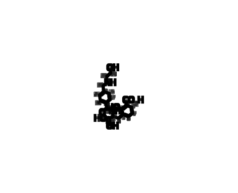 O=C(N[C@@H](Cc1cccc(C(=O)O)c1O)B(O)O)c1ccc(CNCCO)cc1